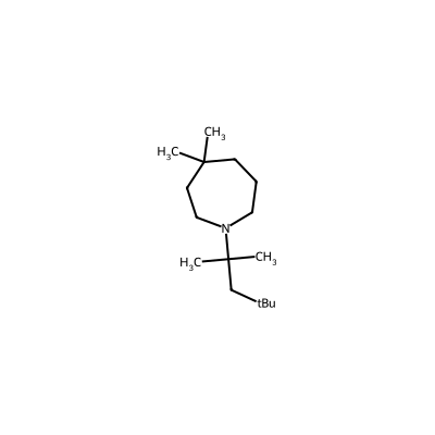 CC(C)(C)CC(C)(C)N1CCCC(C)(C)CC1